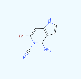 N#CN1C(Br)=Cc2[nH]ccc2C1N